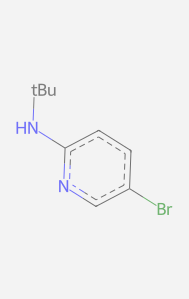 CC(C)(C)Nc1ccc(Br)cn1